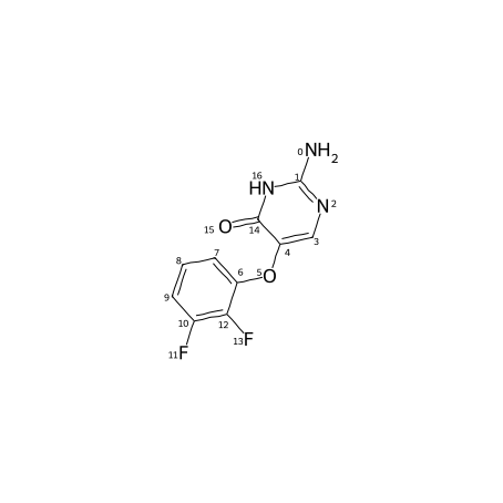 Nc1ncc(Oc2cccc(F)c2F)c(=O)[nH]1